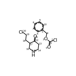 O=C(Cl)OCc1ccccc1.O=C1CCNCC1CCCl